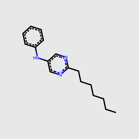 CCCCCCCc1ncc(Nc2ccccc2)cn1